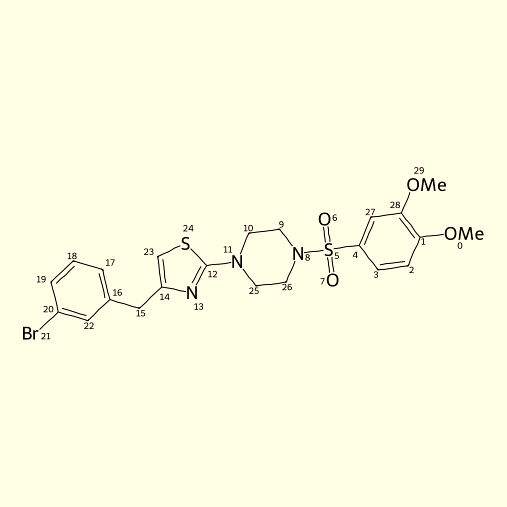 COc1ccc(S(=O)(=O)N2CCN(c3nc(Cc4cccc(Br)c4)cs3)CC2)cc1OC